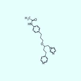 CC(=O)Nc1ccc(CCCOC(CCc2ccncc2)Cn2ccnc2)cc1